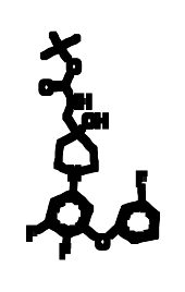 CC(C)(C)OC(=O)NCC1(O)CCN(c2cc(F)c(F)c(Oc3cccc(F)c3)c2)CC1